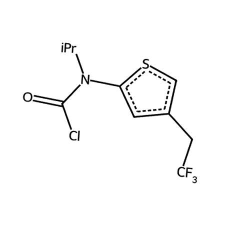 CC(C)N(C(=O)Cl)c1cc(CC(F)(F)F)cs1